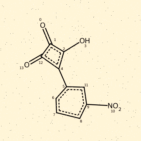 O=c1c(O)c(-c2cccc([N+](=O)[O-])c2)c1=O